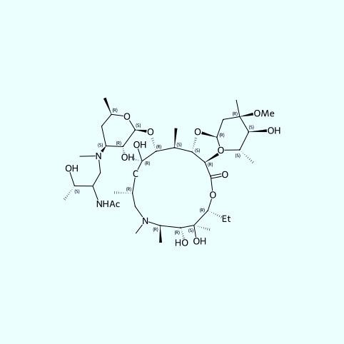 CC[C@H]1OC(=O)[C@H](C)[C@@H](O[C@H]2C[C@@](C)(OC)[C@@H](O)[C@H](C)O2)[C@H](C)[C@@H](O[C@@H]2O[C@H](C)C[C@H](N(C)CC(NC(C)=O)[C@H](C)O)[C@H]2O)[C@](C)(O)C[C@@H](C)CN(C)[C@H](C)[C@@H](O)[C@]1(C)O